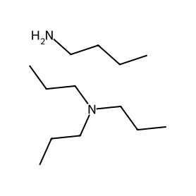 CCCCN.CCCN(CCC)CCC